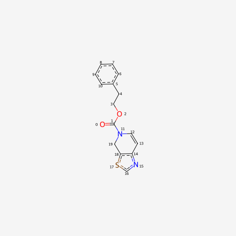 O=C(OCCc1ccccc1)N1C=Cc2ncsc2C1